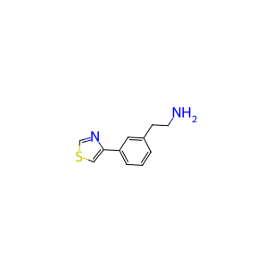 NCCc1cccc(-c2cscn2)c1